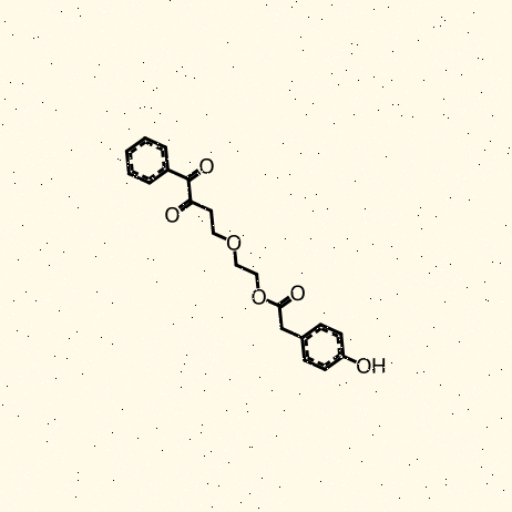 O=C(Cc1ccc(O)cc1)OCCOCCC(=O)C(=O)c1ccccc1